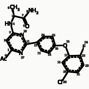 CC(=O)c1cc(N[C@@H](C)C(N)=O)nc(-c2ccc(Oc3cc(Cl)ccc3F)cc2)n1